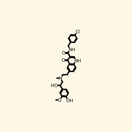 COc1cc(C(O)CN(C)CCc2ccc3[nH]cc(C(=O)NCc4ccc(Cl)cc4)c(=O)c3c2)ccc1O